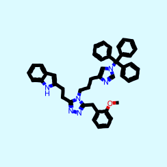 COc1ccccc1Cc1nnc(CCc2cc3ccccc3[nH]2)n1CCCc1cn(C(c2ccccc2)(c2ccccc2)c2ccccc2)cn1